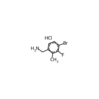 Cc1c(CN)ccc(Br)c1F.Cl